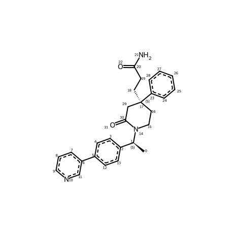 C[C@@H](c1ccc(-c2cccnc2)cc1)N1CC[C@](CCC(N)=O)(c2ccccc2)CC1=O